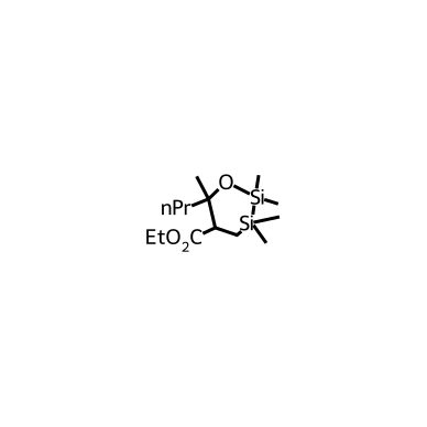 CCCC1(C)O[Si](C)(C)[Si](C)(C)CC1C(=O)OCC